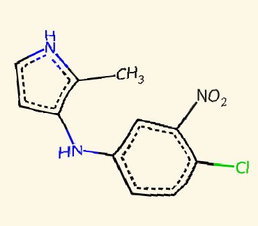 Cc1[nH]ccc1Nc1ccc(Cl)c([N+](=O)[O-])c1